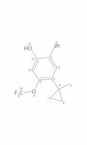 CC(C)c1cc(C2(C)CC2)c(OC(F)(F)F)cc1O